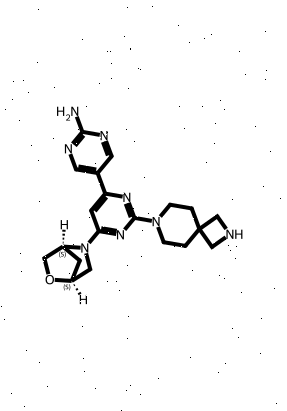 Nc1ncc(-c2cc(N3C[C@@H]4C[C@H]3CO4)nc(N3CCC4(CC3)CNC4)n2)cn1